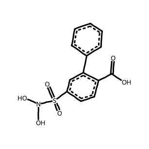 O=C(O)c1ccc(S(=O)(=O)N(O)O)cc1-c1ccccc1